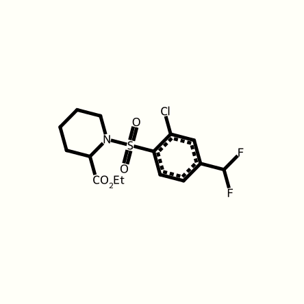 CCOC(=O)C1CCCCN1S(=O)(=O)c1ccc(C(F)F)cc1Cl